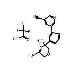 CC1(c2cccc(-c3cncc(C#N)c3)c2)COCC(N)=N1.O=C(O)C(F)(F)F